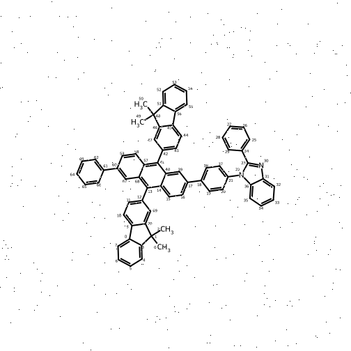 CC1(C)c2ccccc2-c2ccc(-c3c4ccc(-c5ccc(-n6c(-c7ccccc7)nc7ccccc76)cc5)cc4c(-c4ccc5c(c4)C(C)(C)c4ccccc4-5)c4ccc(-c5ccccc5)cc34)cc21